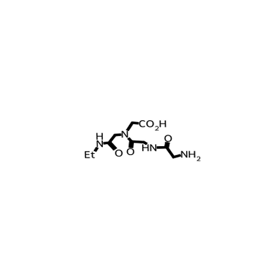 CCNC(=O)CN(CC(=O)O)C(=O)CNC(=O)CN